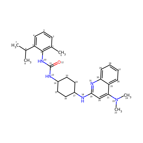 Cc1cccc(C(C)C)c1NC(=O)NC1CCC(Nc2cc(N(C)C)c3ccccc3n2)CC1